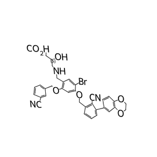 N#Cc1cccc(COc2cc(OCc3cccc(-c4ccc5c(c4)OCCO5)c3C#N)c(Br)cc2CNC[C@@H](O)CC(=O)O)c1